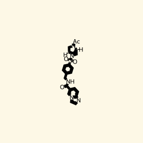 CC(=O)N1C[C@H]2C[C@@H]1CN2S(=O)(=O)c1ccc(CNC(=O)c2ccc3nccn3c2)cc1